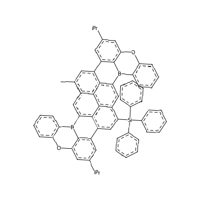 Cc1cc2c3c(cc4c([Si](c5ccccc5)(c5ccccc5)c5ccccc5)cc5c6c(cc1c3c46)B1c3ccccc3Oc3cc(C(C)C)cc-5c31)B1c3ccccc3Oc3cc(C(C)C)cc-2c31